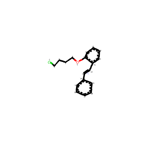 ClCCCCOc1ccccc1/C=C/c1ccccc1